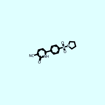 N#Cc1ccc(-c2ccc(S(=O)(=O)N3CCCC3)cc2)[nH]c1=O